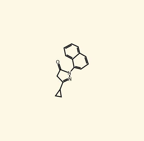 O=C1CC(C2CC2)=NN1c1cccc2ccccc12